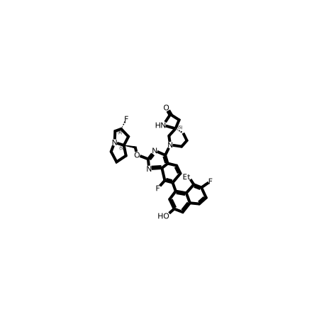 CCc1c(F)ccc2cc(O)cc(-c3ccc4c(N5CCC[C@]6(CC(=O)N6)C5)nc(OC[C@@]56CCCN5C[C@H](F)C6)nc4c3F)c12